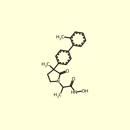 Cc1ccccc1-c1ccc(C2(C)CCN(C(C)C(=O)NO)C2=O)cc1